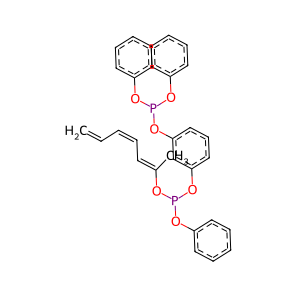 C=C/C=C\C=C(/C)OP(Oc1ccccc1)Oc1cccc(OP(Oc2ccccc2)Oc2ccccc2)c1